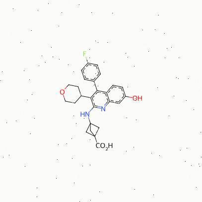 O=C(O)C12CC(Nc3nc4cc(O)ccc4c(-c4ccc(F)cc4)c3C3CCOCC3)(C1)C2